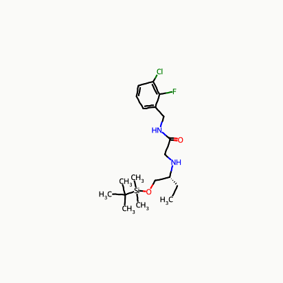 CC[C@H](CO[Si](C)(C)C(C)(C)C)NCC(=O)NCc1cccc(Cl)c1F